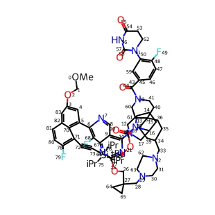 COCOc1cc(-c2ncc3c(N4CC5CCC(C4)N5C(=O)OC(C)(C)C)nc(OCC4(CN5CCN(CC6CCC7(CC6)CCN(C(=O)c6ccc(F)c(N8CCC(=O)NC8=O)c6)CC7)CC5)CC4)nc3c2F)c2c(C#C[Si](C(C)C)(C(C)C)C(C)C)c(F)ccc2c1